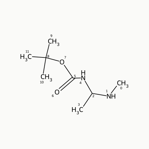 CNC(C)NC(=O)OC(C)(C)C